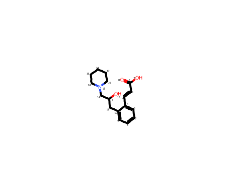 O=C(O)C=Cc1ccccc1CC(O)CN1CCCCC1